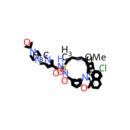 CO[C@H]1/C=C/C[C@H](C)C[S@@](=O)(NC(=O)c2cc(CN3CCN(C4COC4)CC3)n(C)c2)=NC(=O)c2ccc3c(c2)N(C[C@@H]2CC[C@H]21)C[C@@]1(CCCc2cc(Cl)ccc21)CO3